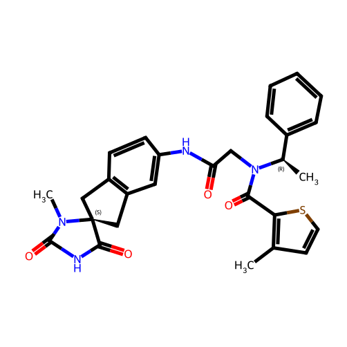 Cc1ccsc1C(=O)N(CC(=O)Nc1ccc2c(c1)C[C@@]1(C2)C(=O)NC(=O)N1C)[C@H](C)c1ccccc1